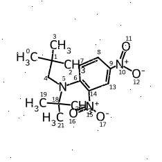 CC(C)(C)CN(c1ccc([N+](=O)[O-])cc1[N+](=O)[O-])C(C)(C)C